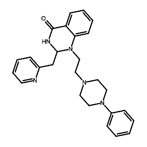 O=C1NC(Cc2ccccn2)N(CCN2CCN(c3ccccc3)CC2)c2ccccc21